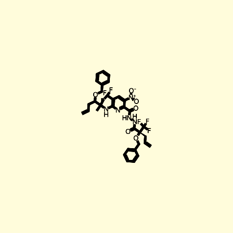 C=CCC(OCc1ccccc1)C(C)(C)Nc1nc(C(=O)NNC(=O)[C@@](CC=C)(OCc2ccccc2)C(F)(F)F)c([N+](=O)[O-])cc1C(F)(F)F